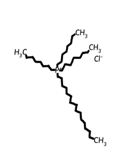 CCCCCCCCCCCCCCCC[P+](CCCCCCCC)(CCCCCCCC)CCCCCCCC.[Cl-]